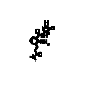 CN(C)C(=O)CCc1cccc(C(=O)Nc2n[nH]c(=S)s2)c1N